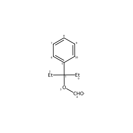 CCC(CC)(O[C]=O)c1ccccc1